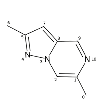 Cc1cn2nc(C)cc2cn1